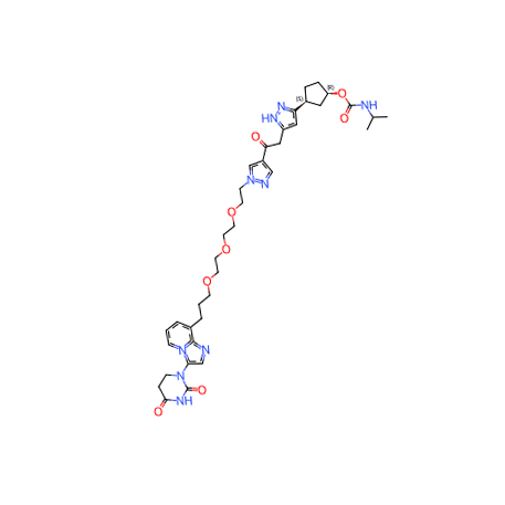 CC(C)NC(=O)O[C@@H]1CC[C@H](c2cc(CC(=O)c3cnn(CCOCCOCCOCCCc4cccn5c(N6CCC(=O)NC6=O)cnc45)c3)[nH]n2)C1